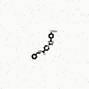 COc1ccc(-c2noc(N3CCC(C(=O)NCCc4ccccc4)CC3)n2)cc1